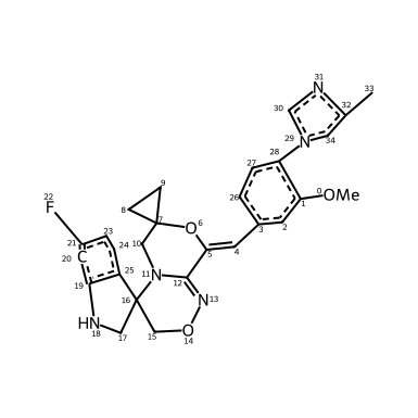 COc1cc(/C=C2\OC3(CC3)CN3C2=NOCC32CNc3cc(F)ccc32)ccc1-n1cnc(C)c1